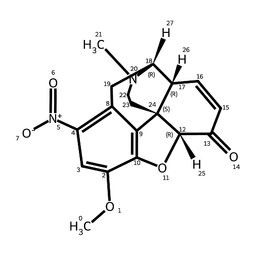 COc1cc([N+](=O)[O-])c2c3c1O[C@H]1C(=O)C=C[C@H]4[C@@H](C2)N(C)CC[C@]314